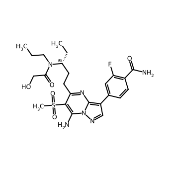 CCCN(C(=O)CO)[C@H](CC)CCc1nc2c(-c3ccc(C(N)=O)c(F)c3)cnn2c(N)c1S(C)(=O)=O